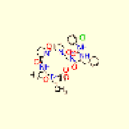 C[C@H]1C[C@H]2C(=O)OC[C@H](NC(=O)[C@H](Cc3ccccc3)NC(=O)Nc3ccccc3Cl)C(=O)N3CCC[C@H]3C(=O)N3CCCC[C@H]3C(=O)N[C@@H](C)C(=O)N2C1